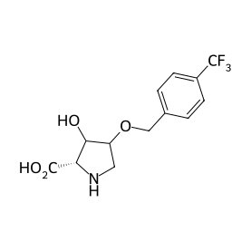 O=C(O)[C@H]1NCC(OCc2ccc(C(F)(F)F)cc2)C1O